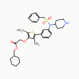 Cc1c(-c2cccc(N(C3CCNCC3)S(=O)(=O)Cc3ccccc3)c2)sc(C(=O)O)c1OCC(=O)OCC1CCCCC1